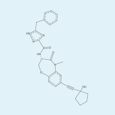 CN1C(=O)[C@@H](NC(=O)c2n[nH]c(Cc3ccccc3)n2)COc2ccc(C#CC3(O)CCCC3)cc21